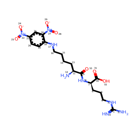 N=C(N)NCCC[C@@H](NC(=O)[C@@H](N)CCCCNc1ccc([N+](=O)[O-])cc1[N+](=O)[O-])C(=O)O